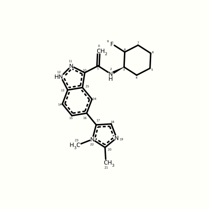 C=C(N[C@@H]1CCCCC1F)c1n[nH]c2ccc(-c3cnc(C)n3C)cc12